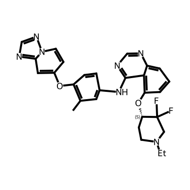 CCN1CC[C@H](Oc2cccc3ncnc(Nc4ccc(Oc5ccn6ncnc6c5)c(C)c4)c23)C(F)(F)C1